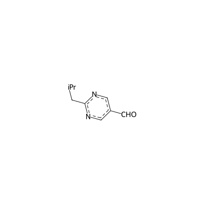 CC(C)Cc1ncc(C=O)cn1